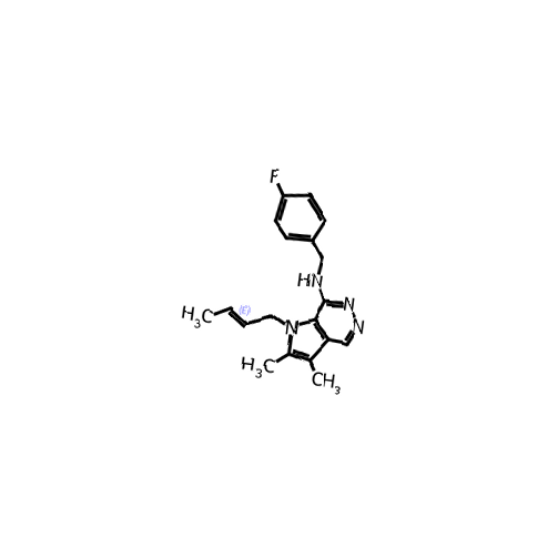 C/C=C/Cn1c(C)c(C)c2cnnc(NCc3ccc(F)cc3)c21